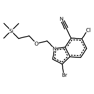 C[Si](C)(C)CCOCn1cc(Br)c2ccc(Cl)c(C#N)c21